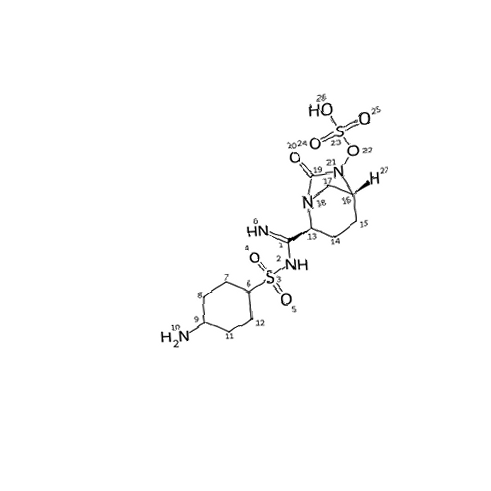 N=C(NS(=O)(=O)C1CCC(N)CC1)[C@@H]1CC[C@@H]2CN1C(=O)N2OS(=O)(=O)O